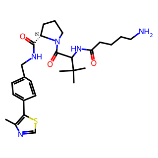 Cc1ncsc1-c1ccc(CNC(=O)[C@@H]2CCCN2C(=O)C(NC(=O)CCCCN)C(C)(C)C)cc1